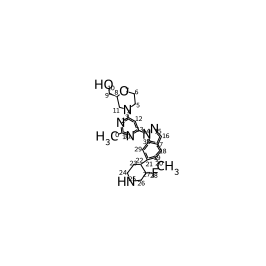 Cc1nc(N2CCO[C@H](CO)C2)cc(-n2ncc3cc(C)c(C4CCNCC4F)cc32)n1